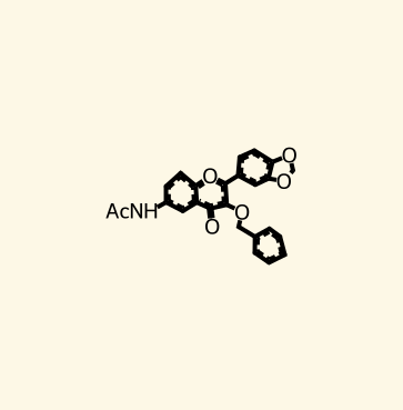 CC(=O)Nc1ccc2oc(-c3ccc4c(c3)OCO4)c(OCc3ccccc3)c(=O)c2c1